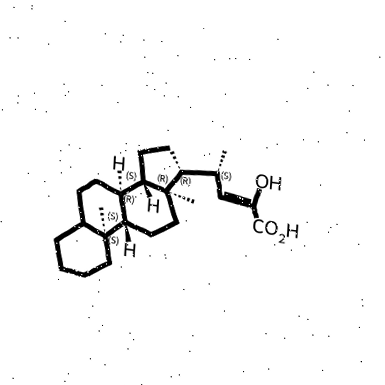 C[C@H](C=C(O)C(=O)O)[C@H]1CC[C@H]2[C@@H]3CCC4CCCC[C@]4(C)[C@H]3CC[C@]12C